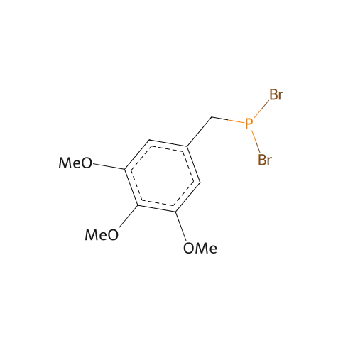 COc1cc(CP(Br)Br)cc(OC)c1OC